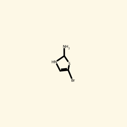 NC1NC=C(Br)S1